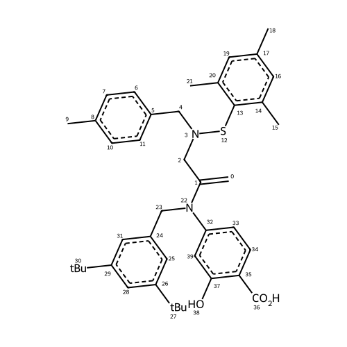 C=C(CN(Cc1ccc(C)cc1)Sc1c(C)cc(C)cc1C)N(Cc1cc(C(C)(C)C)cc(C(C)(C)C)c1)c1ccc(C(=O)O)c(O)c1